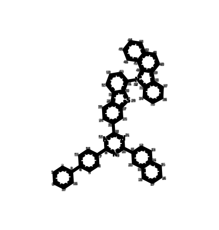 c1ccc(-c2ccc(-c3nc(-c4ccc5ccccc5c4)nc(-c4ccc5c(c4)sc4c(-n6c7ccccc7c7ccc8ccccc8c76)cccc45)n3)cc2)cc1